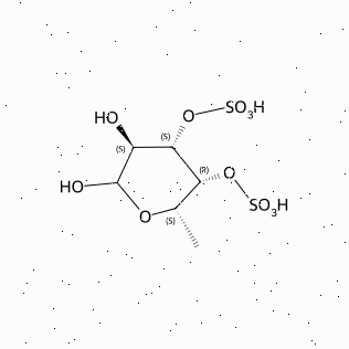 C[C@@H]1OC(O)[C@@H](O)[C@H](OS(=O)(=O)O)[C@@H]1OS(=O)(=O)O